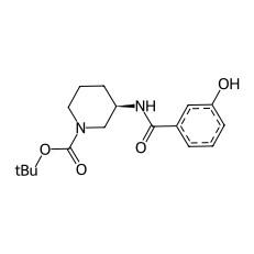 CC(C)(C)OC(=O)N1CCC[C@@H](NC(=O)c2cccc(O)c2)C1